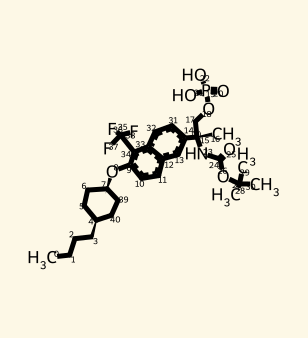 CCCC[C@H]1CC[C@@H](Oc2ccc3cc([C@](C)(COP(=O)(O)O)NC(=O)OC(C)(C)C)ccc3c2C(F)(F)F)CC1